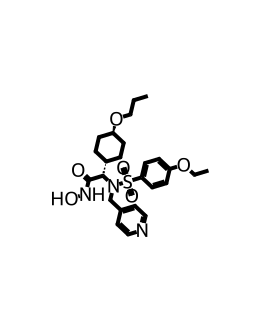 CCCO[C@H]1CC[C@H](C(C(=O)NO)N(Cc2ccncc2)S(=O)(=O)c2ccc(OCC)cc2)CC1